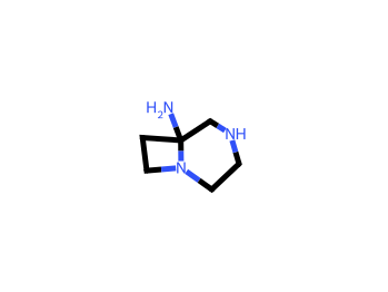 NC12CCN1CCNC2